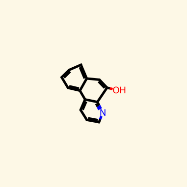 Oc1cc2ccccc2c2cccnc12